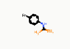 CC(C)c1ccc(NC(P)P)cc1